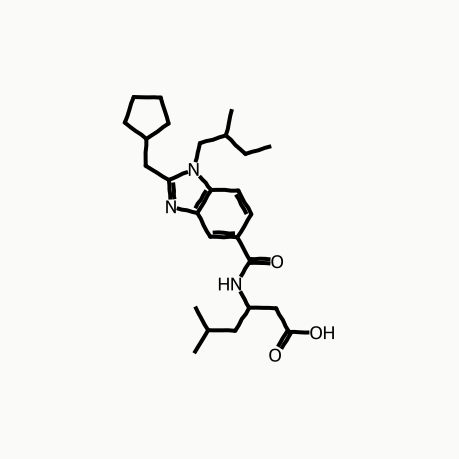 CCC(C)Cn1c(CC2CCCC2)nc2cc(C(=O)NC(CC(=O)O)CC(C)C)ccc21